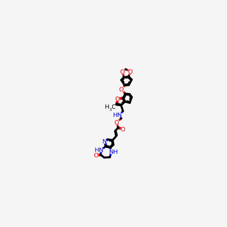 Cc1oc2c(Oc3ccc4c(c3)OCO4)cccc2c1CNCOC(=O)/C=C/c1cnc2c(c1)NCCC(=O)N2